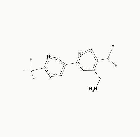 CC(F)(F)c1ncc(-c2cc(CN)c(C(F)F)cn2)cn1